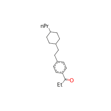 CCCC1CCC(CCc2ccc(C(=O)CC)cc2)CC1